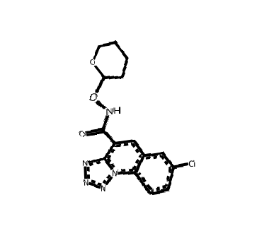 O=C(NOC1CCCCO1)c1cc2cc(Cl)ccc2n2nnnc12